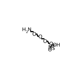 NCCOCCOCCOCCOP(O)(=S)N=O